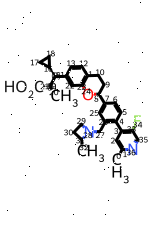 Cc1cc(-c2ccc(C3CCc4ccc([C@H](C5CC5)[C@H](C)C(=O)O)cc4O3)cc2CN2CCC2C)c(F)cn1